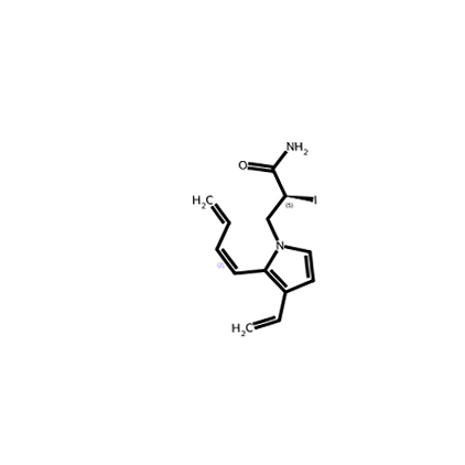 C=C/C=C\c1c(C=C)ccn1C[C@H](I)C(N)=O